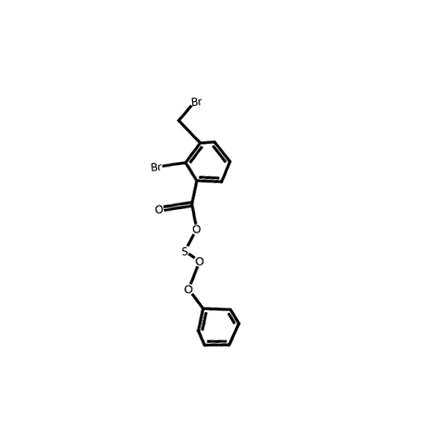 O=C(OSOOc1ccccc1)c1cccc(CBr)c1Br